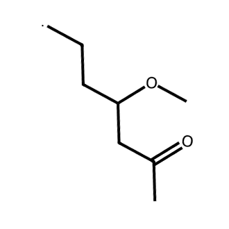 [CH2]CCC(CC(C)=O)OC